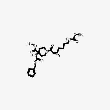 CCCCOC(=O)C1(NC(=O)OCc2ccccc2)CCN(C(=O)C[C@H](C)CCCCNC(=O)OC(C)(C)C)CC1